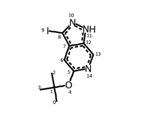 CC(C)(C)Oc1cc2c(I)n[nH]c2cn1